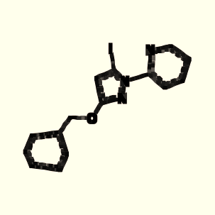 Ic1cc(OCc2ccccc2)nn1-c1ccccn1